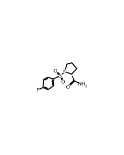 NC(=O)[C@@H]1CCCN1S(=O)(=O)c1ccc(F)cc1